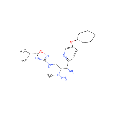 CC(C)C1NC(NC/C(=C(/N)c2ccc(OC3CCCCC3)cn2)N(C)N)=NO1